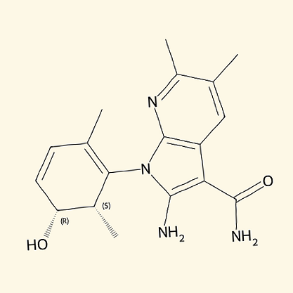 CC1=C(n2c(N)c(C(N)=O)c3cc(C)c(C)nc32)[C@H](C)[C@H](O)C=C1